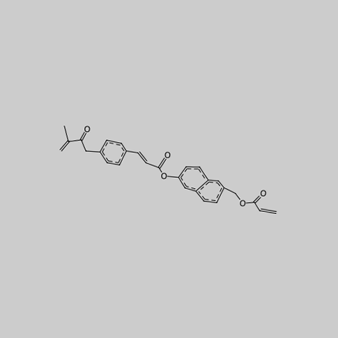 C=CC(=O)OCc1ccc2cc(OC(=O)/C=C/c3ccc(CC(=O)C(=C)C)cc3)ccc2c1